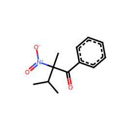 CC(C)C(C)(C(=O)c1ccccc1)[N+](=O)[O-]